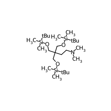 CN(C)CCC(CO[Si](C)(C)C(C)(C)C)(CO[Si](C)(C)C(C)(C)C)CO[Si](C)(C)C(C)(C)C